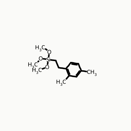 CO[Si](CCc1ccc(C)cc1C)(OC)OC